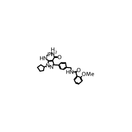 COc1ccccc1C(=O)NCc1ccc(-c2nn(C3CCCC3)c(NC(C)C)c2C(N)=O)cc1